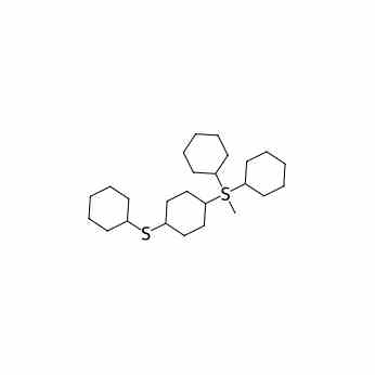 CS(C1CCCCC1)(C1CCCCC1)C1CCC(SC2CCCCC2)CC1